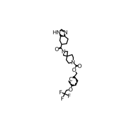 O=C(OCc1ccc(OCC(F)(F)F)cc1)N1CCC2(CC1)CN(C(=O)C1CCc3nc[nH]c3C1)C2